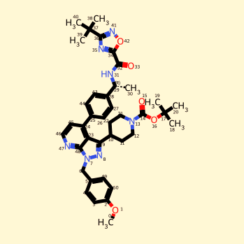 COc1ccc(Cn2nc(C3CCN(C(=O)OC(C)(C)C)CC3)c3c(-c4ccc([C@@H](C)NC(=O)c5nc(C(C)(C)C)no5)cc4)ccnc32)cc1